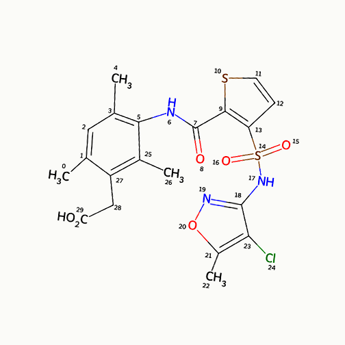 Cc1cc(C)c(NC(=O)c2sccc2S(=O)(=O)Nc2noc(C)c2Cl)c(C)c1CC(=O)O